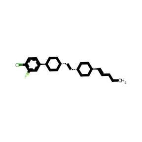 CCCC=C[C@H]1CC[C@H](CC[C@H]2CC[C@H](c3ccc(Cl)c(F)c3)CC2)CC1